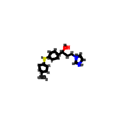 O=[N+]([O-])c1ccc(Sc2ccc(C(O)CCn3ccnc3)cc2)cc1